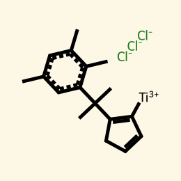 Cc1cc(C)c(C)c(C(C)(C)C2=[C]([Ti+3])C=CC2)c1.[Cl-].[Cl-].[Cl-]